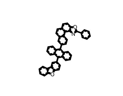 c1ccc(-c2nc3c(ccc4ccc5cc(-c6c7ccccc7c(-c7ccc8oc9ccccc9c8c7)c7ccccc67)ccc5c43)o2)cc1